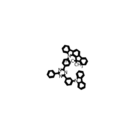 CC1(C)c2ccccc2-c2ccc3c4ccccc4n(-c4ccc(-c5nc(-c6ccccc6)nc(-c6cccc(-n7c8ccccc8c8ccccc87)c6)n5)cc4)c3c21